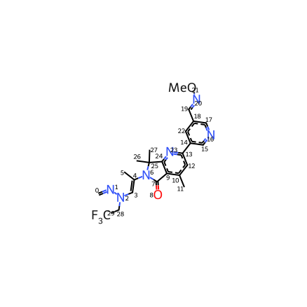 C=NN(/C=C(\C)N1C(=O)c2c(C)cc(-c3cncc(/C=N/OC)c3)nc2C1(C)C)CC(F)(F)F